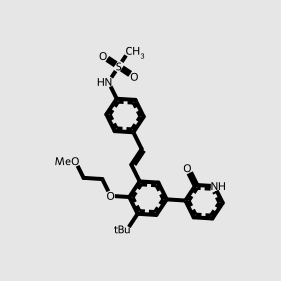 COCCOc1c(C=Cc2ccc(NS(C)(=O)=O)cc2)cc(-c2ccc[nH]c2=O)cc1C(C)(C)C